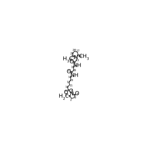 C=C1CCC(=O)N1OC(=O)CCCCCNC(=O)CCNC(=O)CN1C(C)CCCC1C